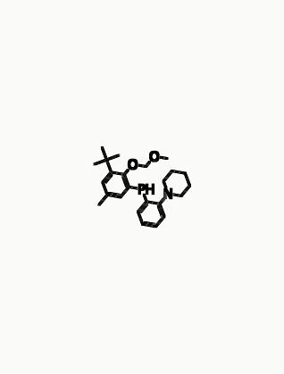 COCOc1c(Pc2ccccc2N2CCCCC2)cc(C)cc1C(C)(C)C